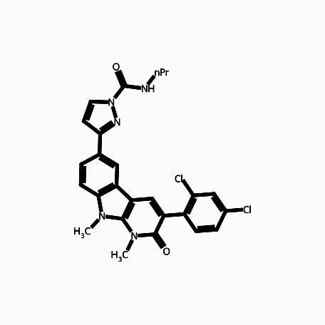 CCCNC(=O)n1ccc(-c2ccc3c(c2)c2cc(-c4ccc(Cl)cc4Cl)c(=O)n(C)c2n3C)n1